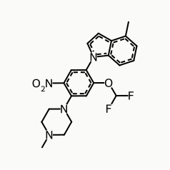 Cc1cccc2c1ccn2-c1cc([N+](=O)[O-])c(N2CCN(C)CC2)cc1OC(F)F